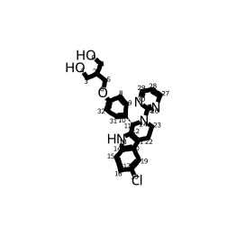 OCC(CO)COc1ccc([C@H]2c3[nH]c4ccc(Cl)cc4c3CCN2c2ncccn2)cc1